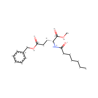 CCCCCCC(=O)N[C@H](CCC(=O)OCc1ccccc1)C(=O)OC